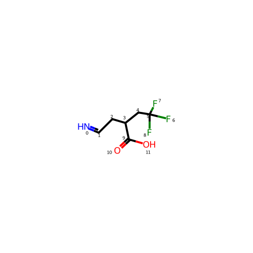 N=CCC(CC(F)(F)F)C(=O)O